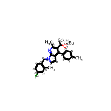 Cc1ccc(-c2c(C(OC(C)(C)C)C(=O)O)c(C)nc3c2ccn3Cc2ccc(F)cc2C)cc1